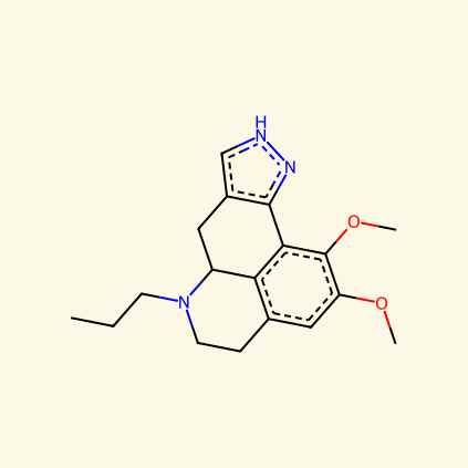 CCCN1CCc2cc(OC)c(OC)c3c2C1Cc1c[nH]nc1-3